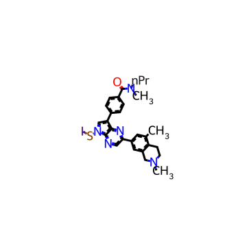 CCCN(C)C(=O)c1ccc(-c2cn(SI)c3ncc(-c4cc(C)c5c(c4)CN(C)CC5)nc23)cc1